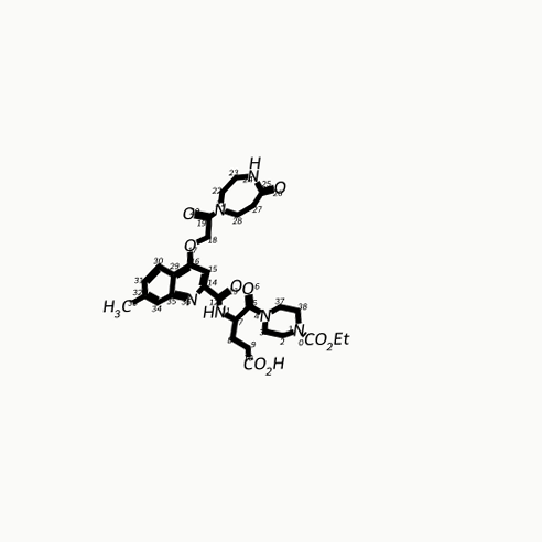 CCOC(=O)N1CCN(C(=O)C(CCC(=O)O)NC(=O)c2cc(OCC(=O)N3CCNC(=O)CC3)c3ccc(C)cc3n2)CC1